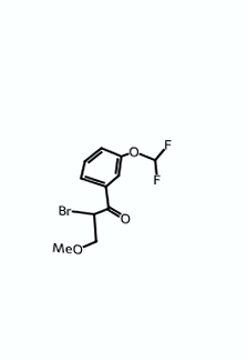 COCC(Br)C(=O)c1cccc(OC(F)F)c1